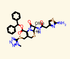 CO[C@@]1(NC(=O)Cc2csc(N)n2)C(=O)N2C(C(=O)OC(c3ccccc3)c3ccccc3)=C(CSc3nnnn3C)CS[C@@H]21